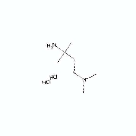 CN(C)CCC(C)(C)N.Cl.Cl